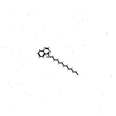 CCCCCCCCCCCCNc1ncnc2ccccc12